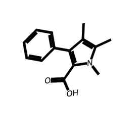 Cc1c(-c2ccccc2)c(C(=O)O)n(C)c1C